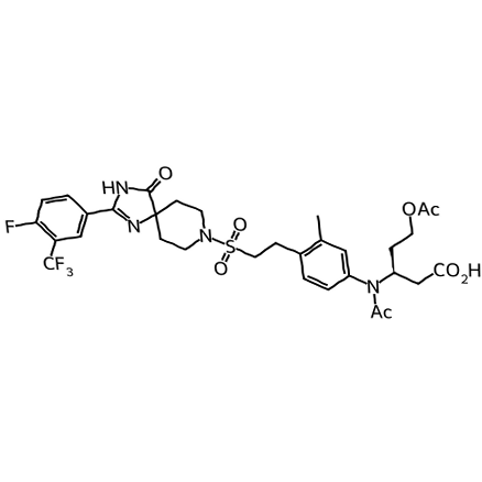 CC(=O)OCC[C@@H](CC(=O)O)N(C(C)=O)c1ccc(CCS(=O)(=O)N2CCC3(CC2)N=C(c2ccc(F)c(C(F)(F)F)c2)NC3=O)c(C)c1